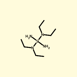 CCN(CC)[Si](N)(N)N(CC)CC